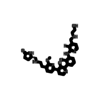 COc1nc(-c2ccnc(-c3cccc(Nc4nccc(CNCCO)c4F)c3Cl)c2Cl)ccc1CCNC[C@@H]1CCC(=O)N1